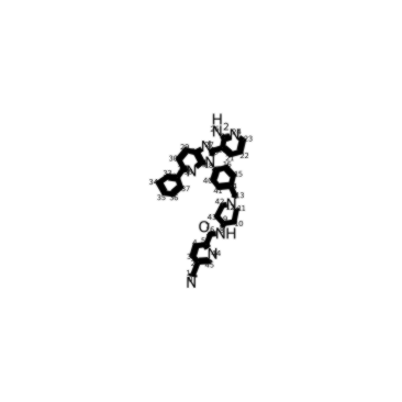 N#Cc1ccc(C(=O)NC2CCN(Cc3ccc(-n4c(-c5cccnc5N)nc5ccc(-c6ccccc6)nc54)cc3)CC2)nc1